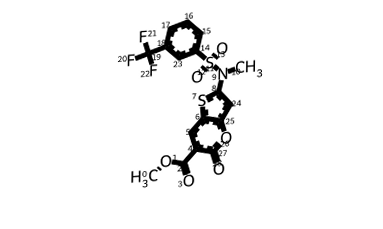 COC(=O)c1cc2sc(N(C)S(=O)(=O)c3cccc(C(F)(F)F)c3)cc2oc1=O